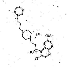 COc1ccc2ncc(Cl)c([C@@H](O)CCC3(CO)CCN(CCCc4ccccc4)CC3)c2c1